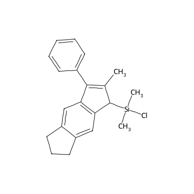 CC1=C(c2ccccc2)c2cc3c(cc2C1[Si](C)(C)Cl)CCC3